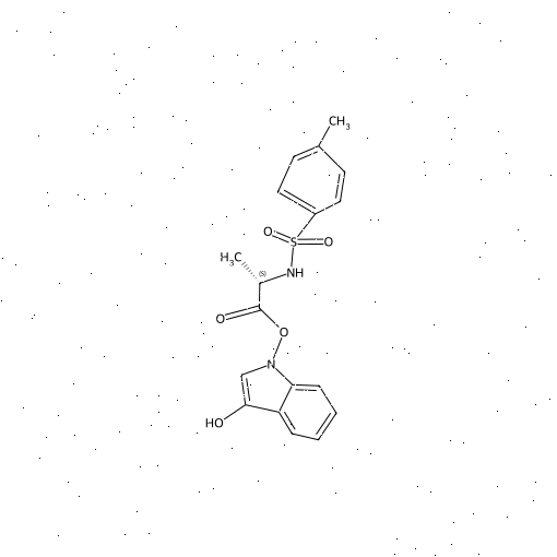 Cc1ccc(S(=O)(=O)N[C@@H](C)C(=O)On2cc(O)c3ccccc32)cc1